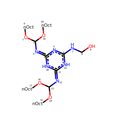 CCCCCCCCOC(N=c1nc(NCO)[nH]c(=NC(OCCCCCCCC)OCCCCCCCC)[nH]1)OCCCCCCCC